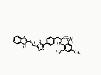 Cc1cc(C)c(NC(Cc2ccc(-c3nnc(CNc4nc5ccccc5[nH]4)[nH]3)cc2)C(=O)O)c(C)c1